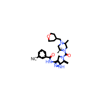 C=C1c2[nH]nc(NC(=O)c3cccc(C#N)c3)c2CN1C(=O)N1CC(C)N(CC2CCOCC2)C[C@@H]1C